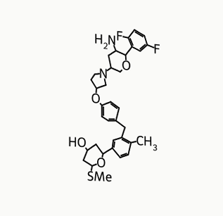 CSC1CC(O)CC(c2ccc(C)c(Cc3ccc(OC4CCN(C5COC(c6cc(F)ccc6F)C(N)C5)C4)cc3)c2)O1